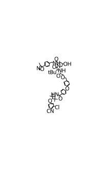 Cc1ncoc1-c1ccc(CNC(=O)[C@@H]2C[C@@H](O)CN2C(=O)[C@@H](NC(=O)COCc2ccc(Oc3ccc(C(=O)NC4C(C)(C)C(Oc5ccc(C#N)c(Cl)c5)C4(C)C)cc3)cc2)C(C)(C)C)cc1